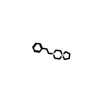 c1ccc(CCN2CC[N+]3(CCCC3)CC2)cc1